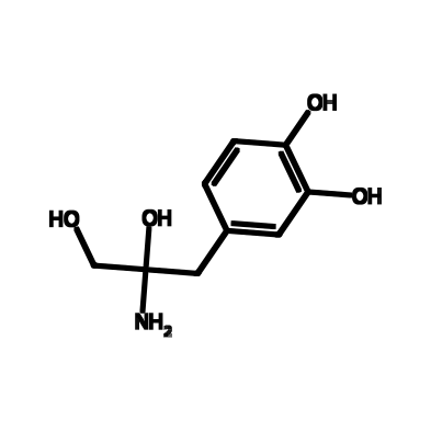 NC(O)(CO)Cc1ccc(O)c(O)c1